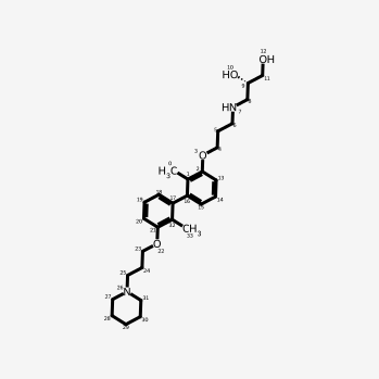 Cc1c(OCCCNC[C@H](O)CO)cccc1-c1cccc(OCCCN2CCCCC2)c1C